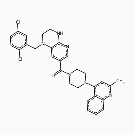 Cc1cc(N2CCN(C(=O)c3cnc4c(c3)N(Cc3cc(Cl)ccc3Cl)CCN4)CC2)c2ccccc2n1